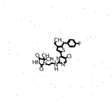 C=Cc1cc(-c2nc(NCCN3C(=O)NC(=O)C3(C)C)ncc2Cl)sc1Cc1ccc(F)cc1